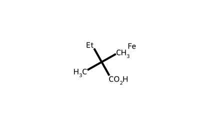 CCC(C)(C)C(=O)O.[Fe]